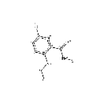 CCSc1ccc(Cl)nc1C(=O)NC